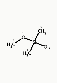 CO[Si](C)(C)[O]